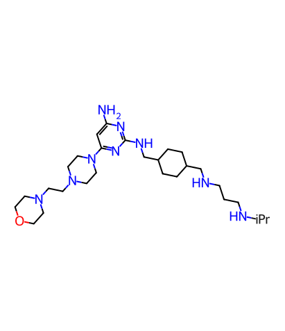 CC(C)NCCCNCC1CCC(CNc2nc(N)cc(N3CCN(CCN4CCOCC4)CC3)n2)CC1